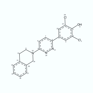 Oc1c(Cl)cc(-c2ccc(N3CCc4ccccc4C3)nn2)cc1Cl